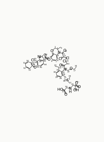 CC1COc2ccccc2N1C(=O)C(Cl)Cl.CCOCN(C(=O)CCl)c1c(C)cccc1CC.C[S+](C)C.Nc1c([N+](=O)[O-])ccc(Oc2ccccc2)c1Cl.O=C(O)CNCP(=O)([O-])O